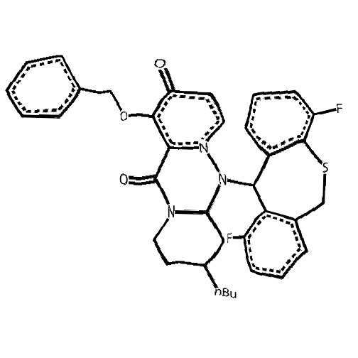 CCCCC1CCN2C(=O)c3c(OCc4ccccc4)c(=O)ccn3N(C3c4cccc(F)c4SCc4cccc(F)c43)C2C1